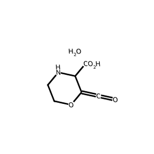 O.O=C=C1OCCNC1C(=O)O